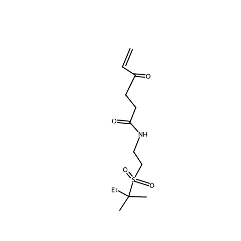 C=CC(=O)CCC(=O)NCCS(=O)(=O)C(C)(C)CC